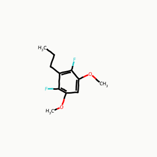 CCCc1c(F)c(OC)cc(OC)c1F